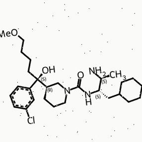 COCCCC[C@@](O)(c1cccc(Cl)c1)[C@@H]1CCCN(C(=O)N[C@@H](CC2CCCCC2)[C@H](C)N)C1